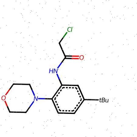 CC(C)(C)c1ccc(N2CCOCC2)c(NC(=O)CCl)c1